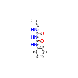 C/C=C\NC(=O)NC(=O)Nc1ccccc1